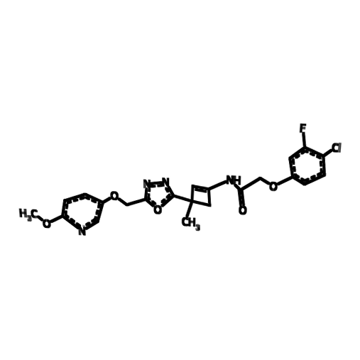 COc1ccc(OCc2nnc(C3(C)C=C(NC(=O)COc4ccc(Cl)c(F)c4)C3)o2)cn1